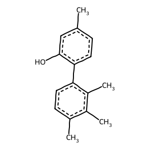 Cc1ccc(-c2ccc(C)c(C)c2C)c(O)c1